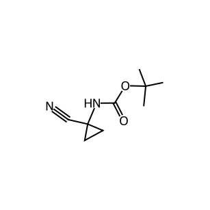 CC(C)(C)OC(=O)NC1(C#N)CC1